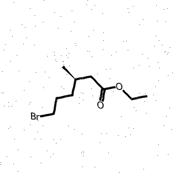 CCOC(=O)C[C@H](C)CCCBr